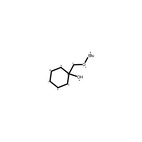 CC(C)(C)OCC1(O)CCCCC1